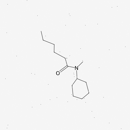 CCCC[CH]C(=O)N(C)C1CCCCC1